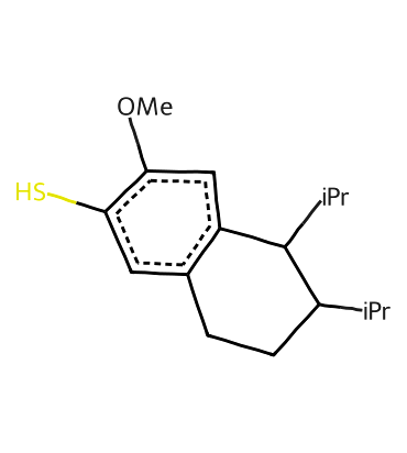 COc1cc2c(cc1S)CCC(C(C)C)C2C(C)C